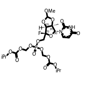 COC1O[C@H]2[C@@](C)(O1)[C@H](n1ccc(=O)[nH]c1=O)O[C@]2(F)COP(=O)(OCOC(=O)OC(C)C)OCOC(=O)OC(C)C